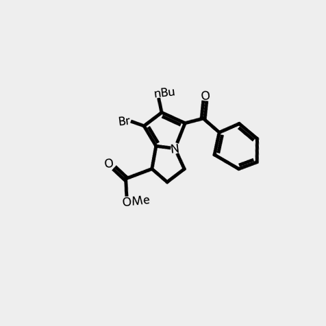 CCCCc1c(Br)c2n(c1C(=O)c1ccccc1)CCC2C(=O)OC